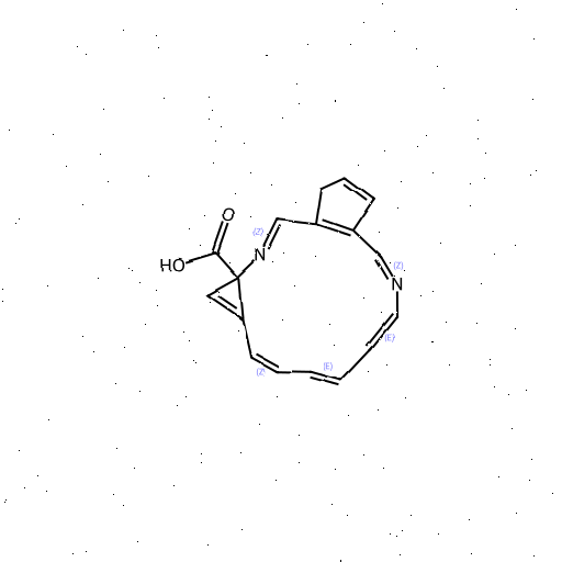 O=C(O)C12C=C1\C=C/C=C/C=C/N=C\C1=C(/C=N\2)CC=C1